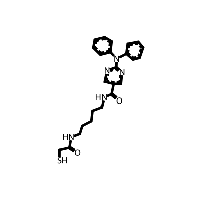 O=C(CS)NCCCCCNC(=O)c1cnc(N(c2ccccc2)c2ccccc2)nc1